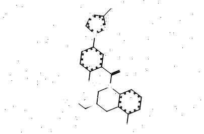 COC[C@@H]1Cc2c(F)cccc2N(C(=O)c2cc(-n3cnc(C(C)C)n3)ccc2OC)C1